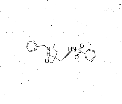 CC(CC1(CC#CNS(=O)(=O)c2ccccc2)COC1)NCc1ccccc1